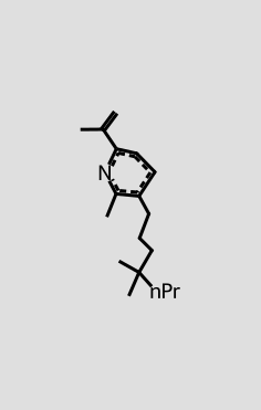 C=C(C)c1ccc(CCCC(C)(C)CCC)c(C)n1